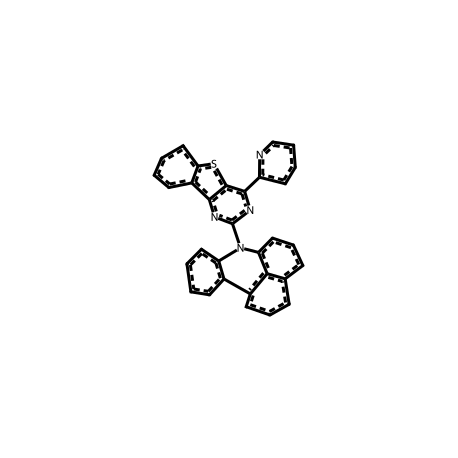 c1ccc(-c2nc(N3c4ccccc4-c4cccc5cccc3c45)nc3c2sc2ccccc23)nc1